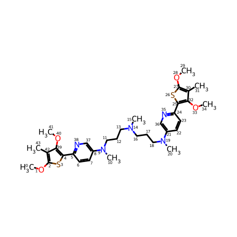 COc1sc(-c2ccc(N(C)CCCN(C)CCCN(C)c3ccc(-c4sc(OC)c(C)c4OC)nc3)cn2)c(OC)c1C